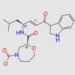 CC(C)C[C@@H](/C=C/C(=O)C1CNc2ccccc21)NC(=O)[C@@H]1CN(C(=O)O)CCCO1